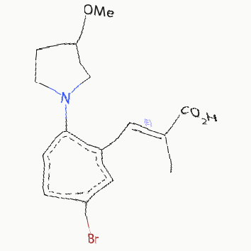 COC1CCN(c2ccc(Br)cc2/C=C(\C)C(=O)O)C1